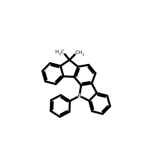 CC1(C)c2ccccc2-c2c1ccc1c3ccccc3n(-c3ccccc3)c21